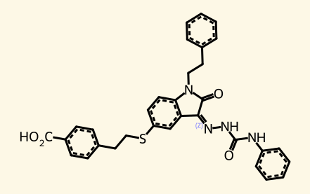 O=C(N/N=C1\C(=O)N(CCc2ccccc2)c2ccc(SCCc3ccc(C(=O)O)cc3)cc21)Nc1ccccc1